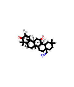 CC1(C)CCC2(CN)CC[C@]3(C)[C@H](C(=O)C[C@@H]4C5(C)C=C(C#N)C(=O)C(C)(C)[C@@H]5CCC43C)C2C1